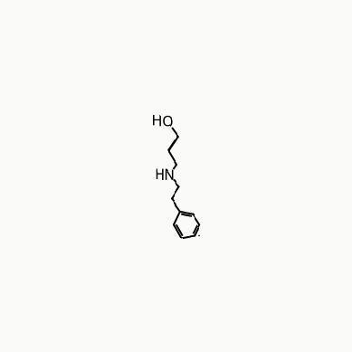 OCCCNCCc1cc[c]cc1